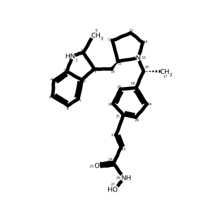 CC1Nc2ccccc2C1C[C@H]1CCCN1[C@H](C)c1ccc(/C=C/C(=O)NO)cc1